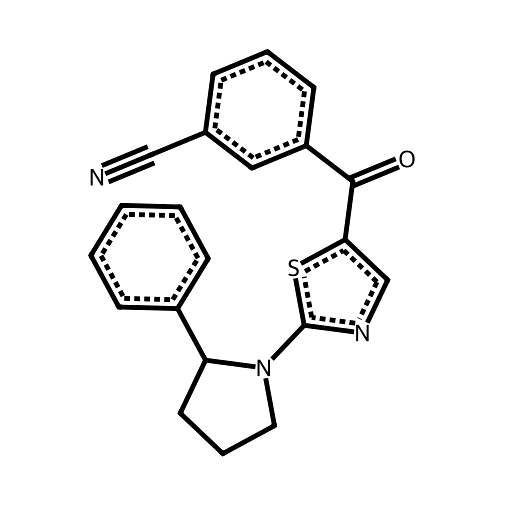 N#Cc1cccc(C(=O)c2cnc(N3CCCC3c3ccccc3)s2)c1